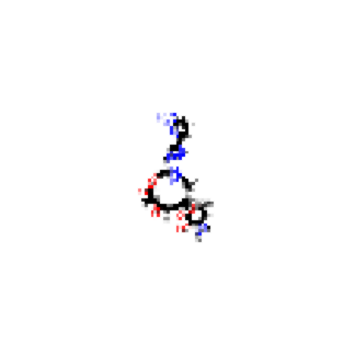 CO[C@]1(C)C[C@@H](C)CN[C@H](Cn2cc(-c3cccc(N)n3)nn2)COC(=O)C(C)C(=O)[C@H](C)[C@H]1O[C@@H]1O[C@H](C)C[C@H](N(C)C)[C@H]1O